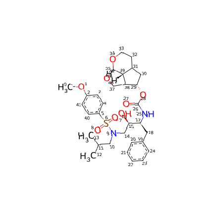 COc1ccc(S(=O)(=O)N(CC(C)C)C[C@@H](O)[C@H](Cc2ccccc2)NC(=O)O[C@H]2CC3CCO[C@H]4OCC2[C@@H]34)cc1